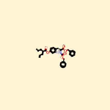 CCCC(CCC)C(=O)Oc1ccc(C[C@H](NC(=O)OCc2ccccc2)C(=O)OCc2ccccc2)cc1